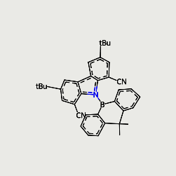 CC(C)(C)c1cc(C#N)c2c(c1)c1cc(C(C)(C)C)cc(C#N)c1n2B1c2ccccc2C(C)(C)c2ccccc21